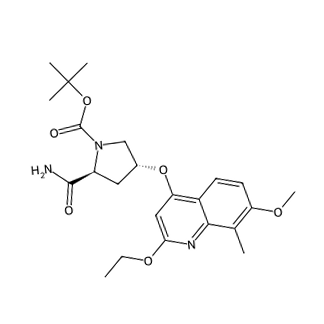 CCOc1cc(O[C@@H]2C[C@@H](C(N)=O)N(C(=O)OC(C)(C)C)C2)c2ccc(OC)c(C)c2n1